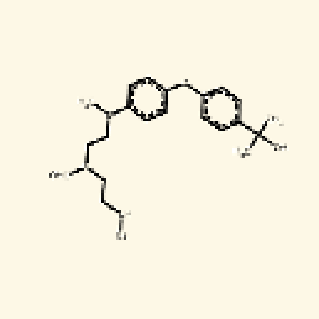 CCNCCN(C=O)CCN(C)c1ccc(Oc2ccc(C(C)(C)O)cc2)cc1